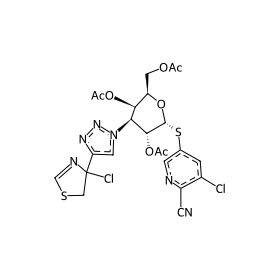 CC(=O)OC[C@H]1O[C@H](Sc2cnc(C#N)c(Cl)c2)[C@H](OC(C)=O)[C@@H](n2cc(C3(Cl)CSC=N3)nn2)[C@H]1OC(C)=O